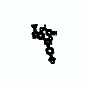 C[C@@H](Oc1cc(-c2cnn(C3CCN(C4COC4)CC3)c2)cc2ncn(C3CC3)c12)C1CNC(=O)C1